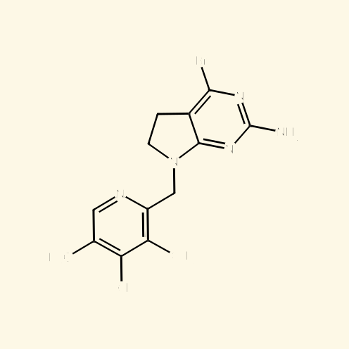 Cc1cnc(CN2CCc3c(Br)nc(N)nc32)c(C)c1Cl